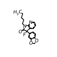 CCCCCN1C(=O)C(F)(c2ccc3c(c2)OCO3)c2cccnc21